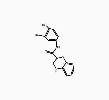 CC(C)(C)c1ccc(NC(=O)C2CNc3ccccc3S2)cc1O